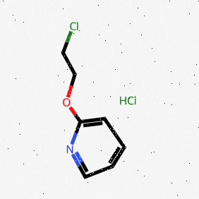 Cl.ClCCOc1ccccn1